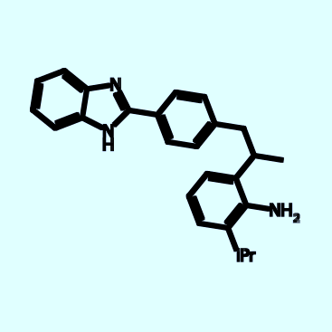 CC(C)c1cccc(C(C)Cc2ccc(-c3nc4ccccc4[nH]3)cc2)c1N